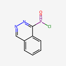 O=[PH](Cl)c1nncc2ccccc12